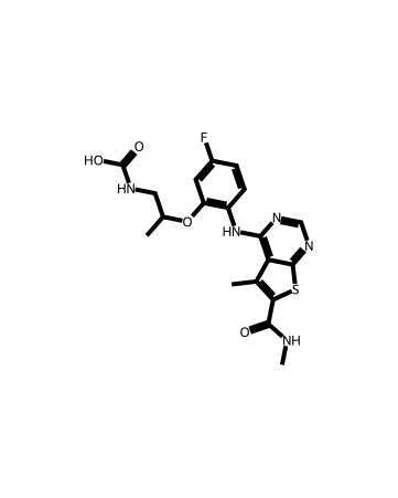 CNC(=O)c1sc2ncnc(Nc3ccc(F)cc3OC(C)CNC(=O)O)c2c1C